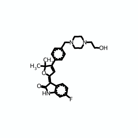 CC1(C)OC(=C2C(=O)Nc3cc(F)ccc32)C=C1c1ccc(CN2CCN(CCO)CC2)cc1